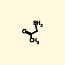 BCC(C)=O